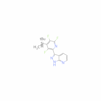 C[Si@@H](c1c(F)c(F)nc(-c2n[nH]c3ncccc23)c1F)C(C)(C)C